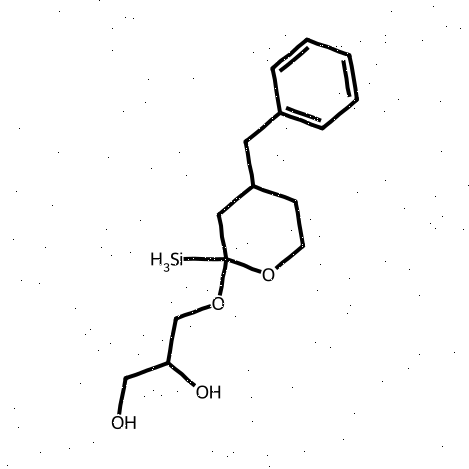 OCC(O)COC1([SiH3])CC(Cc2ccccc2)CCO1